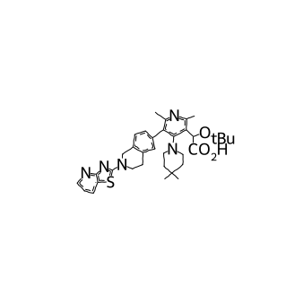 Cc1nc(C)c(C(OC(C)(C)C)C(=O)O)c(N2CCC(C)(C)CC2)c1-c1ccc2c(c1)CCN(c1nc3ncccc3s1)C2